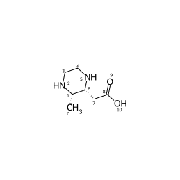 C[C@@H]1NCCN[C@@H]1CC(=O)O